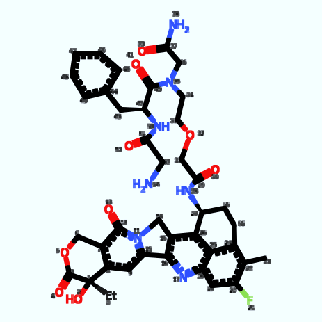 CC[C@@]1(O)C(=O)OCc2c1cc1n(c2=O)Cc2c-1nc1cc(F)c(C)c3c1c2[C@@H](NC(=O)COCCN(CC(N)=O)C(=O)[C@H](Cc1ccccc1)NC(=O)CN)CC3